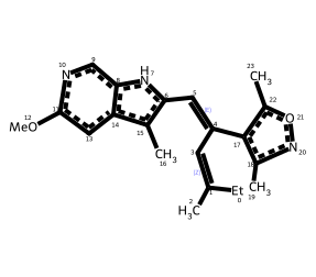 CC/C(C)=C\C(=C/c1[nH]c2cnc(OC)cc2c1C)c1c(C)noc1C